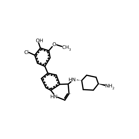 COc1cc(-c2ccc3c(c2)C(N[C@H]2CC[C@H](N)CC2)[C]=CN3)cc(Cl)c1O